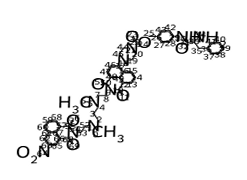 CN(CCCN(C)CCN1C(=O)c2cccc3c(N4CCN(C(=O)OCc5ccc(NC(=O)[C@@H](N)Cc6ccccc6)cc5)CC4)ccc(c23)C1=O)CCN1C(=O)c2cccc3cc([N+](=O)[O-])cc(c23)C1=O